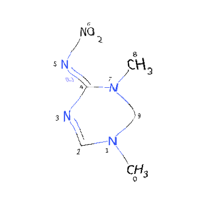 CN1C=N/C(=N/[N+](=O)[O-])N(C)C1